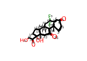 C[C@]12CCC(=O)C=C1C(F)C[C@H]1[C@@H]3CC[C@](O)(C(=O)CO)[C@@]3(C)CC(=O)[C@@]12F